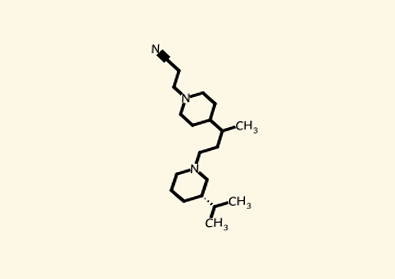 CC(CCN1CCC[C@@H](C(C)C)C1)C1CCN(CCC#N)CC1